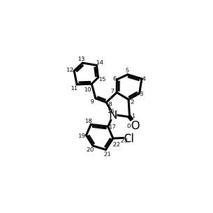 O=C1c2ccccc2C(=Cc2ccccc2)N1c1ccccc1Cl